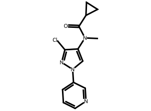 CN(C(=O)C1CC1)c1cn(-c2cccnc2)nc1Cl